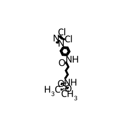 CC(C)S(=O)(=O)NCCCCC(=O)Nc1ccc(-n2cnc(Cl)c2Cl)cc1